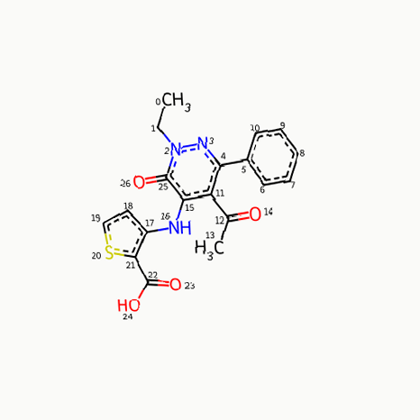 CCn1nc(-c2ccccc2)c(C(C)=O)c(Nc2ccsc2C(=O)O)c1=O